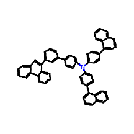 c1cc(-c2ccc(N(c3ccc(-c4cccc5ccccc45)cc3)c3ccc(-c4cccc5ccccc45)cc3)cc2)cc(-c2cc3ccccc3c3ccccc23)c1